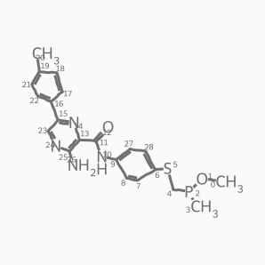 COP(C)CSc1ccc(NC(=O)c2nc(-c3ccc(C)cc3)cnc2N)cc1